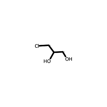 O[CH]C(O)[CH]Cl